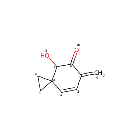 C=C1C=CC2(CC2)C(O)C1=O